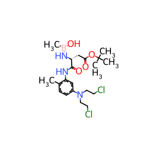 CB(O)N[C@H](CC(=O)OC(C)(C)C)C(=O)Nc1cc(N(CCCl)CCCl)ccc1C